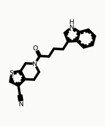 N#Cc1csc2c1CCN(C(=O)CCCc1c[nH]c3ccccc13)C2